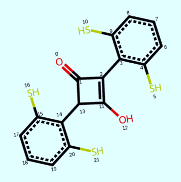 O=C1C(c2c(S)cccc2S)=C(O)C1c1c(S)cccc1S